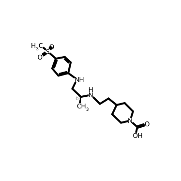 C[C@@H](CNc1ccc(S(C)(=O)=O)cc1)NCCC1CCN(C(=O)O)CC1